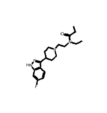 CCC(=O)N(CC)CCN1CCC(c2n[nH]c3cc(F)ccc23)CC1